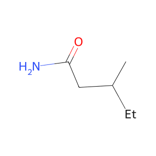 CCC(C)CC(N)=O